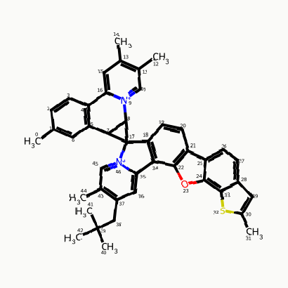 Cc1ccc2c(c1)C1C([n+]3cc(C)c(C)cc3-2)C12c1ccc3c(oc4c3ccc3cc(C)sc34)c1-c1cc(CC(C)(C)C)c(C)c[n+]12